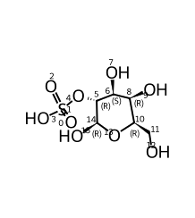 O=S(=O)(O)O[C@@H]1[C@@H](O)[C@@H](O)[C@@H](CO)O[C@H]1O